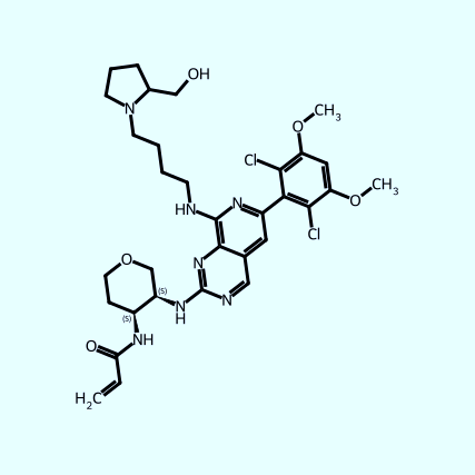 C=CC(=O)N[C@H]1CCOC[C@H]1Nc1ncc2cc(-c3c(Cl)c(OC)cc(OC)c3Cl)nc(NCCCCN3CCCC3CO)c2n1